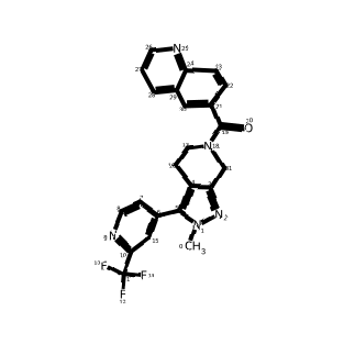 Cn1nc2c(c1-c1ccnc(C(F)(F)F)c1)CCN(C(=O)c1ccc3ncccc3c1)C2